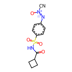 N#C/[N+]([O-])=N/c1ccc(S(=O)(=O)NC(=O)C2CCC2)cc1